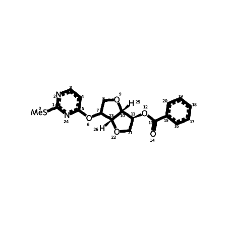 CSc1nccc(OC2CO[C@@H]3[C@@H](OC(=O)c4ccccc4)CO[C@H]23)n1